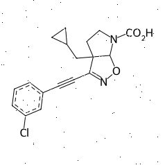 O=C(O)N1CCC2(CC3CC3)C(C#Cc3cccc(Cl)c3)=NOC12